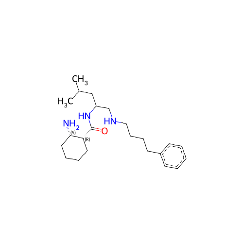 CC(C)CC(CNCCCCc1ccccc1)NC(=O)[C@@H]1CCCC[C@@H]1N